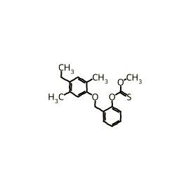 CCc1cc(C)c(OCc2ccccc2OC(=S)OC)cc1C